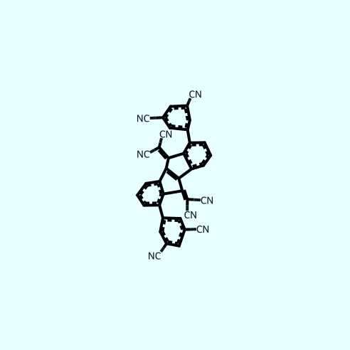 N#CC(C#N)=C1C2=C(C(=C(C#N)C#N)c3c2cccc3-c2cc(C#N)cc(C#N)c2)c2cccc(-c3cc(C#N)cc(C#N)c3)c21